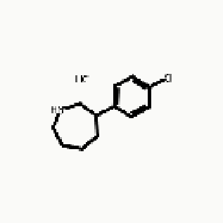 Cl.Clc1ccc(C2CCCCNC2)cc1